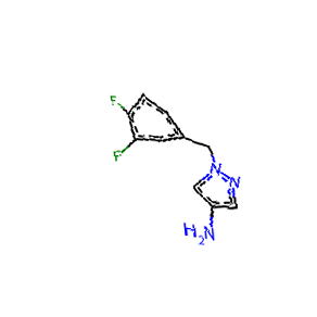 Nc1cnn(Cc2ccc(F)c(F)c2)c1